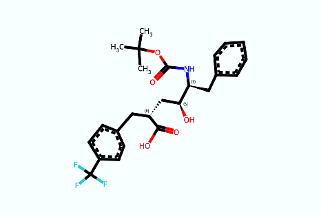 CC(C)(C)OC(=O)N[C@@H](Cc1ccccc1)[C@@H](O)C[C@@H](Cc1ccc(C(F)(F)F)cc1)C(=O)O